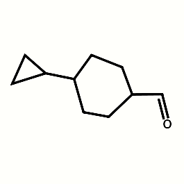 O=CC1CCC(C2CC2)CC1